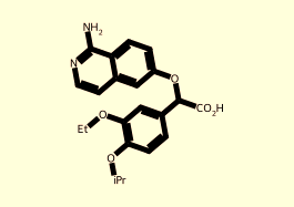 CCOc1cc(C(Oc2ccc3c(N)nccc3c2)C(=O)O)ccc1OC(C)C